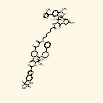 Cc1ncsc1-c1ccc([C@H](C)NC(=O)[C@@H]2C[C@@H](O)CN2C(=O)C(NC(=O)CCCCCNC(=O)CC(=O)N2CCN(C(=O)C(NC(=O)c3cc4cc(C(F)(F)P(=O)(O)O)ccc4s3)C(C)(C)C)C(C(=O)N3CCOC(c4ccccc4)C3)C2)C(C)(C)C)cc1